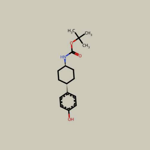 CC(C)(C)OC(=O)N[C@H]1CC[C@H](c2ccc(O)cc2)CC1